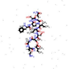 CC[C@H](C)[C@H](NC(=O)[C@@H](Cc1ccccc1)NC)C(=O)N[C@@H](CO)C(=O)N[C@H](CCC(N)=O)C(=O)N[C@@H](C(=O)N[C@H](C(=O)N[C@@H](CO)C(=O)N[C@H]1C(=O)N[C@@H](C)C(=O)N[C@@]2(C[C@H]2CCN)C(=O)N[C@@H]([C@@H](C)CC)C(=O)O[C@H]1C)[C@@H](C)CC)[C@@H](C)CC